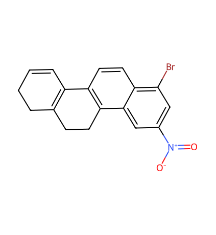 O=[N+]([O-])c1cc(Br)c2ccc3c(c2c1)CCC1=C3C=CCC1